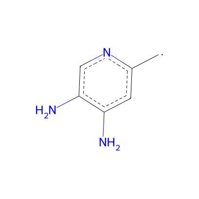 [CH2]c1cc(N)c(N)cn1